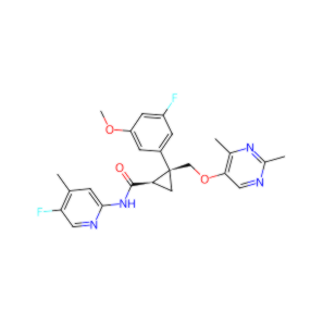 COc1cc(F)cc([C@]2(COc3cnc(C)nc3C)C[C@H]2C(=O)Nc2cc(C)c(F)cn2)c1